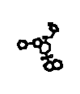 O=S(=O)(c1cccc2ccccc12)N1CCC(NCc2c[nH]cn2)c2ccc(-c3ccccc3)cc2C1